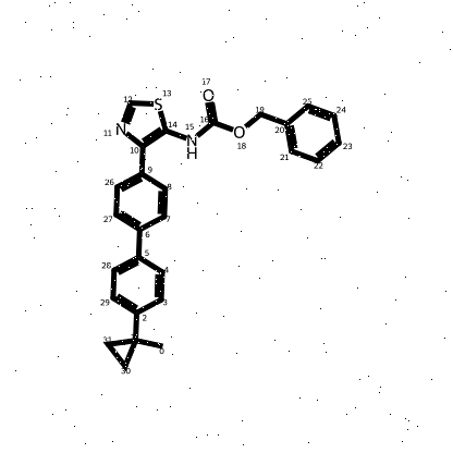 CC1(c2ccc(-c3ccc(-c4ncsc4NC(=O)OCc4ccccc4)cc3)cc2)CC1